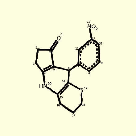 O=C1CCC2=C1C(c1cccc([N+](=O)[O-])c1)C1=C(CCCS1)N2